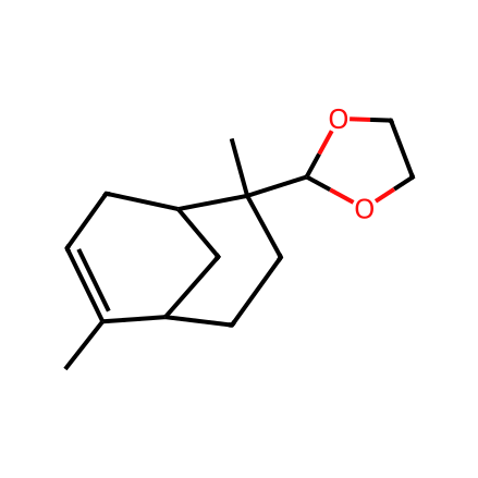 CC1=CCC2CC1CCC2(C)C1OCCO1